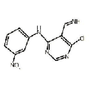 N=Cc1c(Cl)ncnc1Nc1cccc([N+](=O)[O-])c1